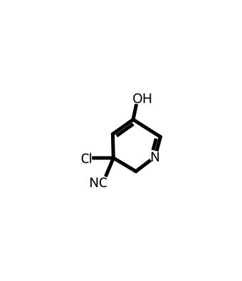 N#CC1(Cl)C=C(O)C=NC1